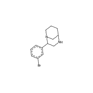 Brc1cccc(C2CNC3CCCN2C3)c1